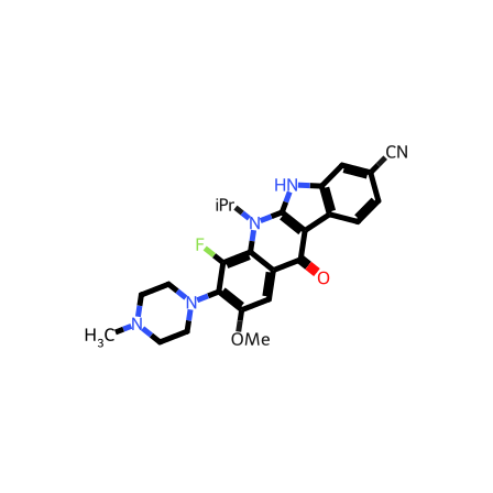 COc1cc2c(=O)c3c4ccc(C#N)cc4[nH]c3n(C(C)C)c2c(F)c1N1CCN(C)CC1